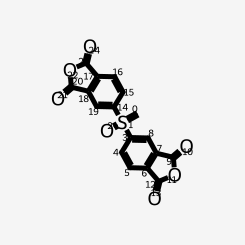 C=S(=O)(c1ccc2c(c1)C(=O)OC2=O)c1ccc2c(c1)C(=O)OC2=O